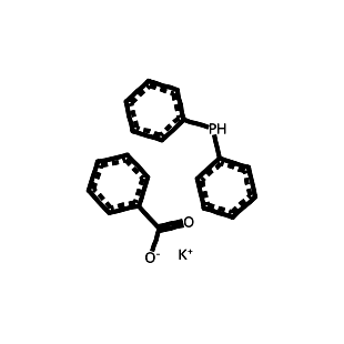 O=C([O-])c1ccccc1.[K+].c1ccc(Pc2ccccc2)cc1